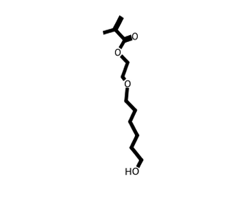 C=C(C)C(=O)OCCOCCCCCCO